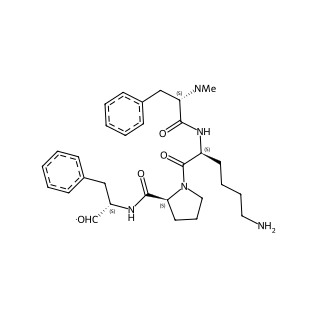 CN[C@@H](Cc1ccccc1)C(=O)N[C@@H](CCCCN)C(=O)N1CCC[C@H]1C(=O)N[C@H]([C]=O)Cc1ccccc1